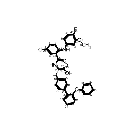 COc1cc(Nc2ccc(Cl)cc2C(=O)N[C@@H](Cc2ccc(-c3ccccc3Oc3ccccc3)cc2)C(=O)O)ccc1F